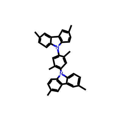 Cc1ccc2c(c1)c1cc(C)ccc1n2-c1cc(C)c(-n2c3ccc(C)cc3c3cc(C)ccc32)cc1C